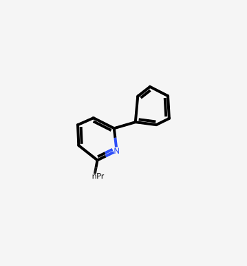 CCCc1cccc(-c2ccccc2)n1